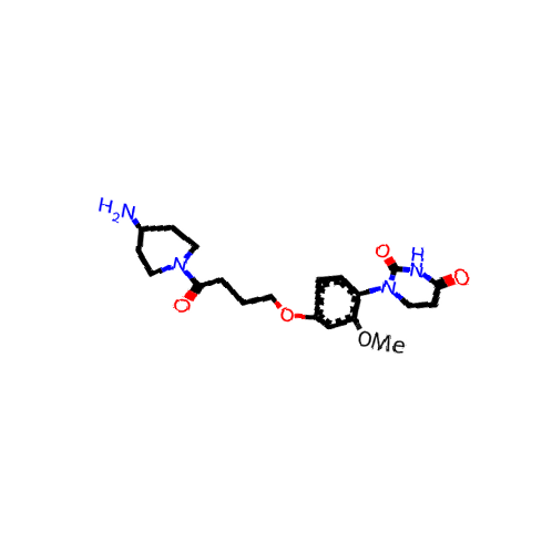 COc1cc(OCCCC(=O)N2CCC(N)CC2)ccc1N1CCC(=O)NC1=O